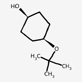 CC(C)(C)O[C@H]1CC[C@@H](O)CC1